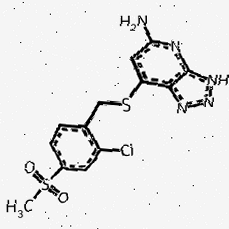 CS(=O)(=O)c1ccc(CSc2cc(N)nc3[nH]nnc23)c(Cl)c1